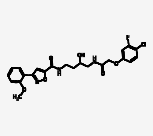 COc1ccccc1-c1cc(C(=O)NCCC(O)CNC(=O)COc2ccc(Cl)c(F)c2)on1